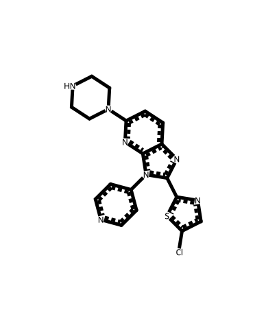 Clc1cnc(-c2nc3ccc(N4CCNCC4)nc3n2-c2ccncc2)s1